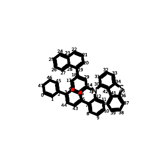 C1=CC(c2ccc(-c3ccccc3N(c3cccc(-c4cccc5ccccc45)c3)c3cccc4sc5ccccc5c34)cc2)=CCC1